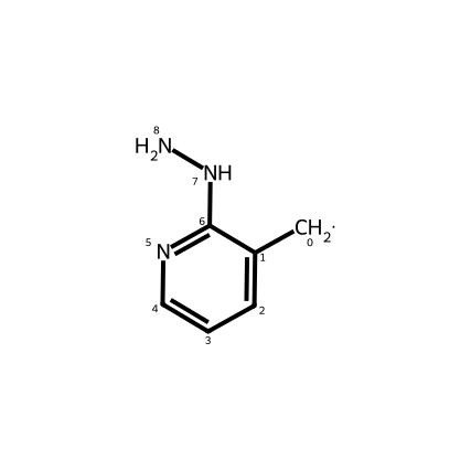 [CH2]c1cccnc1NN